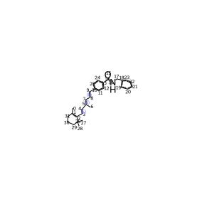 CC1=C(/C=C/C(C)=C/C=C/c2ccc(C(=O)NCc3ccccc3)cc2)C(C)(C)CCC1